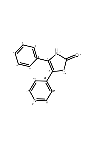 O=c1[nH]c(-c2ccccc2)c(-c2ccncc2)o1